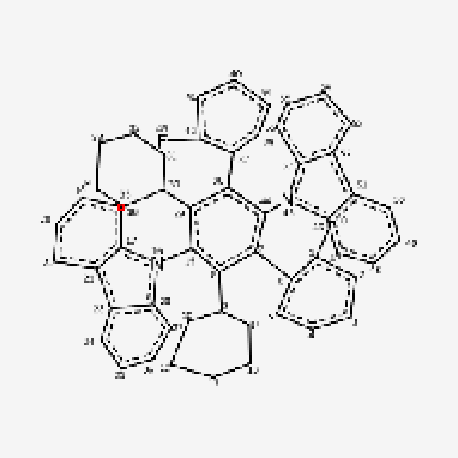 Fc1ccccc1-c1c(C2CCCCC2)c(-n2c3ccccc3c3ccccc32)c(C2CCCCC2)c(-c2ccccc2F)c1-n1c2ccccc2c2ccccc21